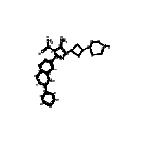 CN1CCN(C2CC(n3nc(-c4ccc5ccc(-c6ccccc6)nc5c4)c(C(N)=O)c3N)C2)CC1